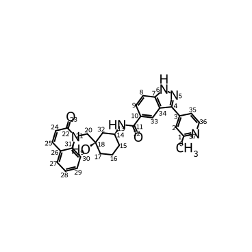 Cc1cc(-c2n[nH]c3ccc(C(=O)N[C@H]4CCC[C@](O)(Cn5c(=O)ccc6ccccc65)C4)cc23)ccn1